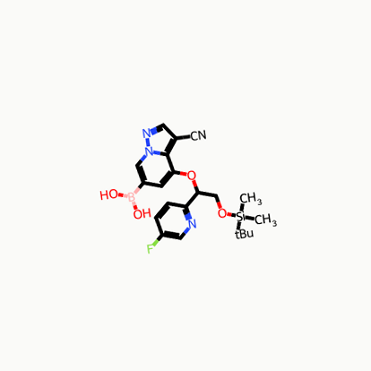 CC(C)(C)[Si](C)(C)OCC(Oc1cc(B(O)O)cn2ncc(C#N)c12)c1ccc(F)cn1